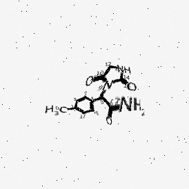 Cc1ccc(C(C(N)=O)N2C(=O)CNC2=O)cc1